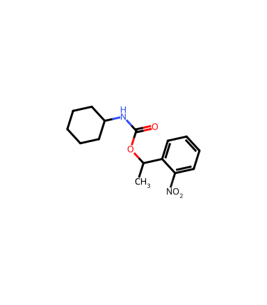 CC(OC(=O)NC1CCCCC1)c1ccccc1[N+](=O)[O-]